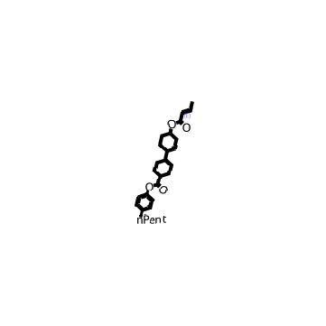 C/C=C/C(=O)OC1CCC(C2CCC(C(=O)Oc3ccc(CCCCC)cc3)CC2)CC1